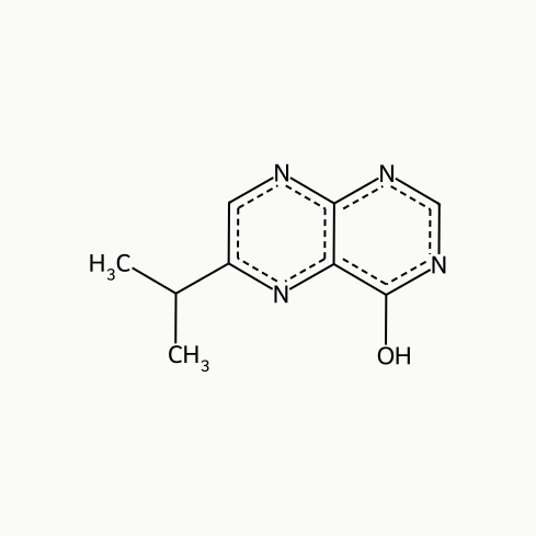 CC(C)c1cnc2ncnc(O)c2n1